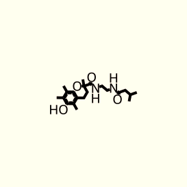 Cc1c(C)c2c(c(C)c1O)CCC(C)(C(=O)NCCNC(=O)CC(C)C)O2